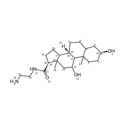 CC12CC[C@H](O)CC1CC[C@@H]1C2C(O)CC2(C)C1CC[C@@H]2C(=O)NCCN